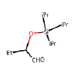 CCC(C=O)O[Si](C(C)C)(C(C)C)C(C)C